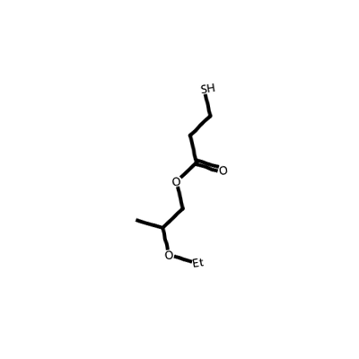 CCOC(C)COC(=O)CCS